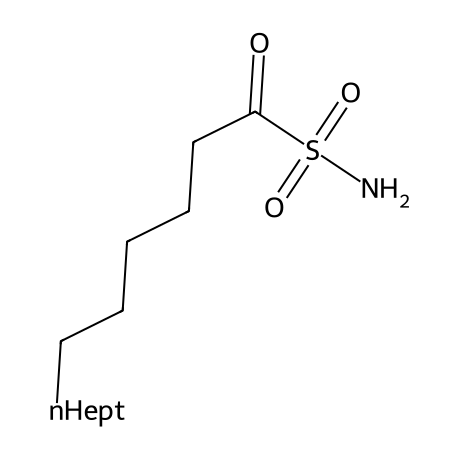 CCCCCCCCCCCCC(=O)S(N)(=O)=O